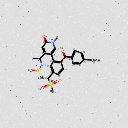 CCCC[S@+]([O-])N[C@@H](C)c1cc(=O)n(C)cc1-c1cc(CS(=O)(=O)CC)ccc1C(=O)c1ccc(OC)cc1